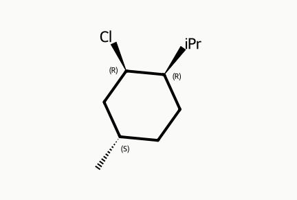 CC(C)[C@H]1CC[C@H](C)C[C@H]1Cl